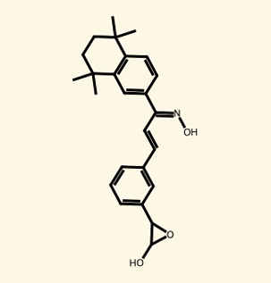 CC1(C)CCC(C)(C)c2cc(C(/C=C/c3cccc(C4OC4O)c3)=N/O)ccc21